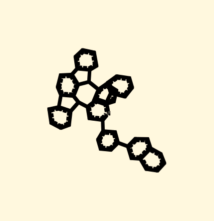 c1ccc(-c2cc(C3c4ccccc4-c4ccc5c(c43)C(c3ccccc3)c3ccccc3-5)cc(-c3cccc(-c4ccc5ccccc5c4)c3)n2)cc1